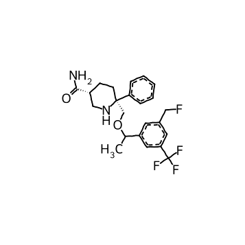 CC(OC[C@@]1(c2ccccc2)CC[C@@H](C(N)=O)CN1)c1cc(CF)cc(C(F)(F)F)c1